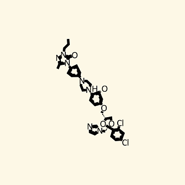 CCCn1nc(C)n(-c2ccc(N3CCN(c4ccc(OC[C@@H]5CO[C@@](Cn6ccnc6)(c6ccc(Cl)cc6Cl)O5)cc4)CC3)cc2)c1=O.O